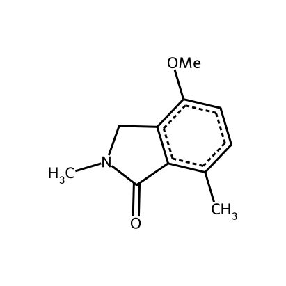 COc1ccc(C)c2c1CN(C)C2=O